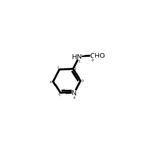 O=CNC1=CN=CCC1